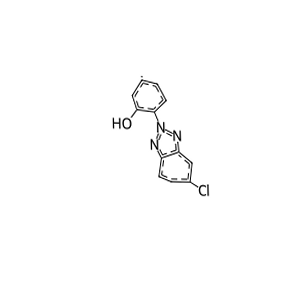 Oc1c[c]ccc1-n1nc2ccc(Cl)cc2n1